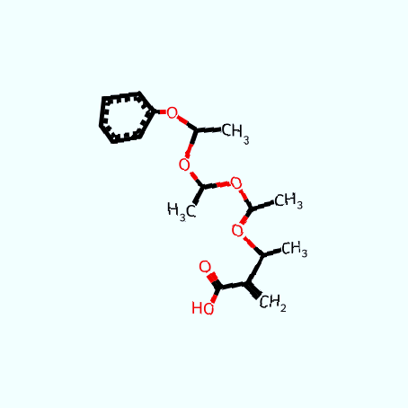 C=C(C(=O)O)C(C)OC(C)OC(C)OC(C)Oc1ccccc1